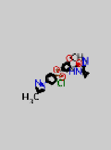 CO[C@H]1C[C@@H](S(=O)(=O)c2ccc(-n3cc(C)cn3)cc2Cl)C[C@@H]1C(=O)NC1(C#N)CC1